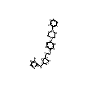 c1ccc(N2CCN(c3ccc(OCC4COC(Cc5ncc[nH]5)O4)cc3)CC2)cc1